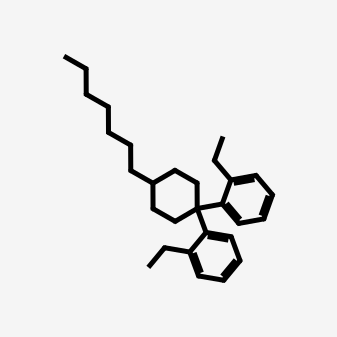 CCCCCCCC1CCC(c2ccccc2CC)(c2ccccc2CC)CC1